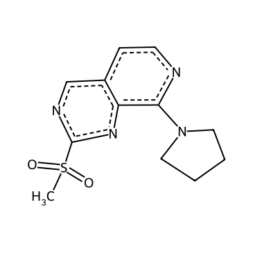 CS(=O)(=O)c1ncc2ccnc(N3CCCC3)c2n1